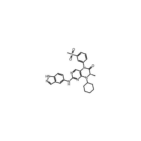 C[C@@H]1C(=O)N(c2cccc(S(C)(=O)=O)c2)c2cnc(Nc3ccc4[nH]ncc4c3)nc2N1C1CCCCC1